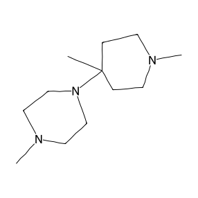 CN1CCN(C2(C)CCN(C)CC2)CC1